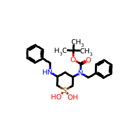 CC(C)(C)OC(=O)N(Cc1ccccc1)C1CC(NCc2ccccc2)CS(O)(O)C1